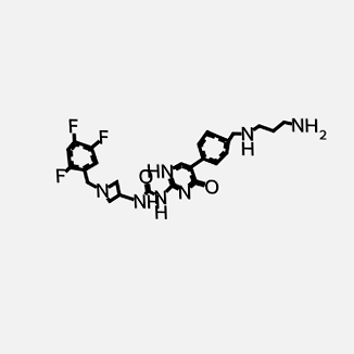 NCCCNCc1ccc(-c2c[nH]c(NC(=O)NC3CN(Cc4cc(F)c(F)cc4F)C3)nc2=O)cc1